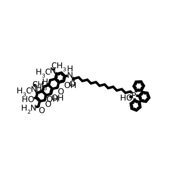 CN(C)c1cc(NC(=O)CCCCCCCCCCCCCP(O)(c2ccccc2)(c2ccccc2)c2ccccc2)c(O)c2c1C[C@H]1C[C@H]3[C@H](N(C)C)C(O)=C(C(N)=O)C(=O)[C@@]3(O)C(O)=C1C2=O